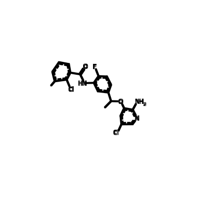 Cc1cccc(C(=O)Nc2cc(C(C)Oc3cc(Cl)cnc3N)ccc2F)c1Cl